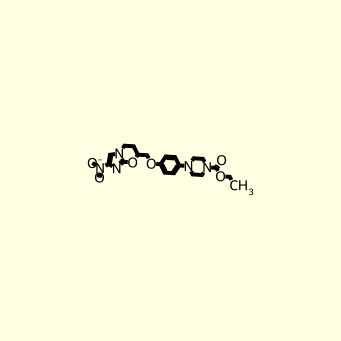 CCOC(=O)N1CCN(c2ccc(OCC3CCn4cc([N+](=O)[O-])nc4O3)cc2)CC1